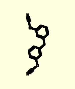 N#COc1cccc(Cc2cccc(OC#N)c2)c1